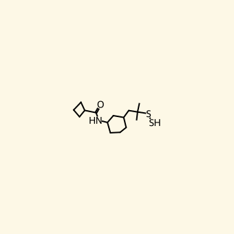 CC(C)(CC1CCCC(NC(=O)C2CCC2)C1)SS